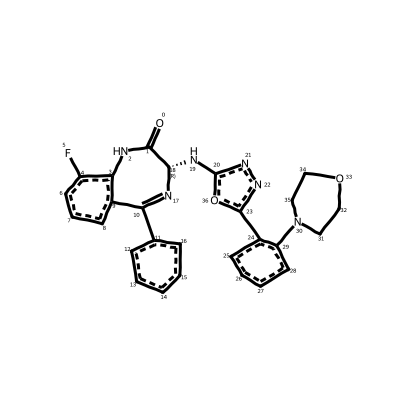 O=C1Nc2c(F)cccc2C(c2ccccc2)=N[C@H]1Nc1nnc(-c2ccccc2N2CCOCC2)o1